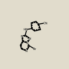 N#Cc1ccc(Nc2nc3ccnc(Br)n3n2)cc1